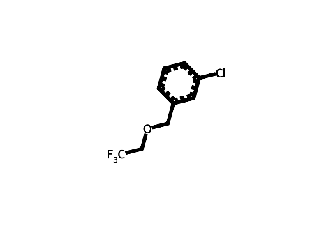 FC(F)(F)COCc1cccc(Cl)c1